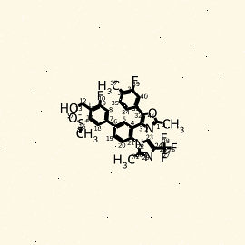 Cc1nc(-c2cc(-c3cc(F)c(CO)c([S+](C)[O-])c3)ccc2-n2cc(C(F)(F)F)nc2C)c(-c2ccc(C)c(F)c2)o1